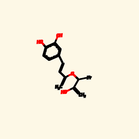 C=C(/C=C/c1ccc(O)c(O)c1)OC(C(=C)O)C(C)C